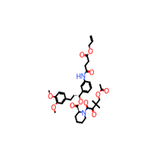 C=CCOC(=O)CCC(=O)Nc1cccc([C@@H](CCc2ccc(OC)c(OC)c2)OC(=O)[C@@H]2CCCCN2C(=O)C(=O)C(C)(C)COC(C)=O)c1